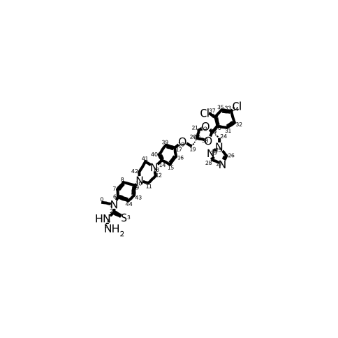 CN(C(=S)NN)c1ccc(N2CCN(c3ccc(OC[C@@H]4CO[C@@](Cn5cncn5)(c5ccc(Cl)cc5Cl)O4)cc3)CC2)cc1